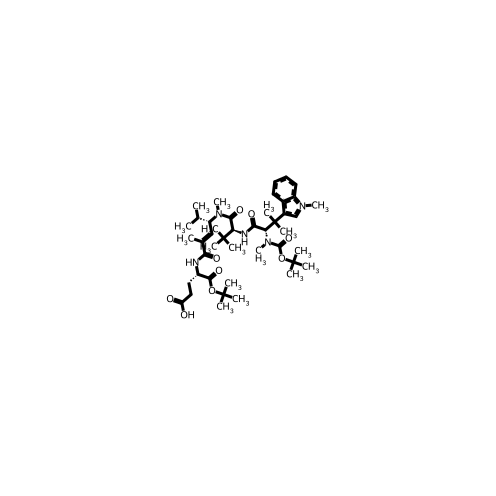 C/C(=C\[C@H](C(C)C)N(C)C(=O)[C@@H](NC(=O)[C@@H](N(C)C(=O)OC(C)(C)C)C(C)(C)c1cn(C)c2ccccc12)C(C)(C)C)C(=O)N[C@@H](CCC(=O)O)C(=O)OC(C)(C)C